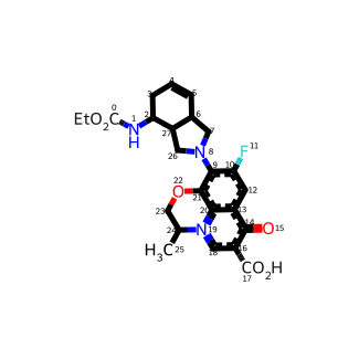 CCOC(=O)NC1CC=CC2CN(c3c(F)cc4c(=O)c(C(=O)O)cn5c4c3OCC5C)CC21